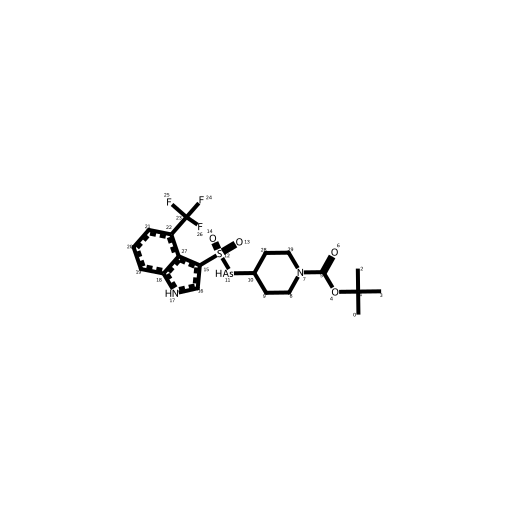 CC(C)(C)OC(=O)N1CCC([AsH]S(=O)(=O)c2c[nH]c3cccc(C(F)(F)F)c23)CC1